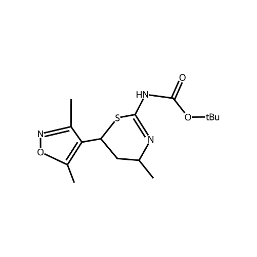 Cc1noc(C)c1C1CC(C)N=C(NC(=O)OC(C)(C)C)S1